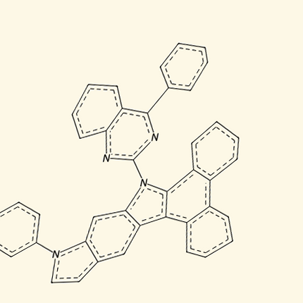 c1ccc(-c2nc(-n3c4cc5c(ccn5-c5ccccc5)cc4c4c5ccccc5c5ccccc5c43)nc3ccccc23)cc1